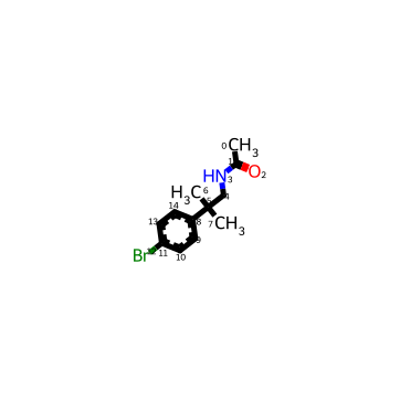 CC(=O)NCC(C)(C)c1ccc(Br)cc1